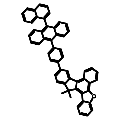 CC1(C)c2ccc(-c3ccc(-c4c5ccccc5c(-c5cccc6ccccc56)c5ccccc45)cc3)cc2-c2c1c1c3ccccc3oc1c1ccccc21